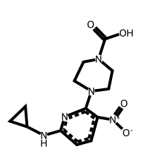 O=C(O)N1CCN(c2nc(NC3CC3)ccc2[N+](=O)[O-])CC1